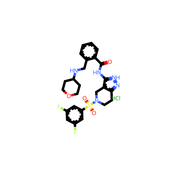 Cl.O=C(Nc1[nH]nc2c1CN(S(=O)(=O)c1cc(F)cc(F)c1)CC2)c1ccccc1CNC1CCOCC1